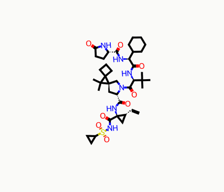 C=C[C@@H]1C[C@]1(NC(=O)[C@@H]1C[C@@]2(CN1C(=O)[C@@H](NC(=O)[C@@H](NC(=O)[C@@H]1CCC(=O)N1)C1CCCCC1)C(C)(C)C)C(C)(C)C21CCC1)C(=O)NS(=O)(=O)C1CC1